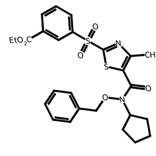 CCOC(=O)c1cccc(S(=O)(=O)c2nc(C)c(C(=O)N(OCc3ccccc3)C3CCCC3)s2)c1